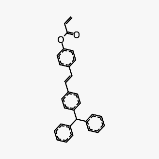 C=CC(=O)Oc1ccc(C=Cc2ccc(C(c3ccccc3)c3ccccc3)cc2)cc1